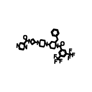 O=C(c1cnccn1)N1CC(N2CCN(C3CCN(C(=O)c4cc(C(F)(F)F)cc(C(F)(F)F)c4)C(Cc4ccccc4)C3)CC2)C1